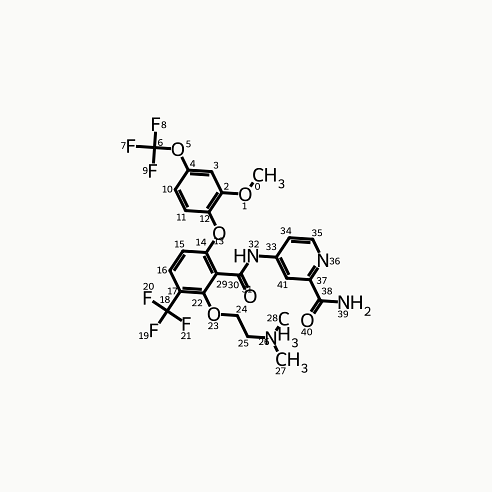 COc1cc(OC(F)(F)F)ccc1Oc1ccc(C(F)(F)F)c(OCCN(C)C)c1C(=O)Nc1ccnc(C(N)=O)c1